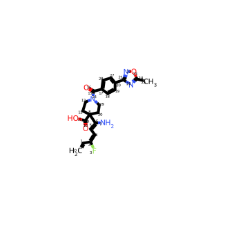 C=C/C(F)=C\C=C(/N)C1(C(=O)O)CCN(C(=O)c2ccc(-c3noc(C)n3)cc2)CC1